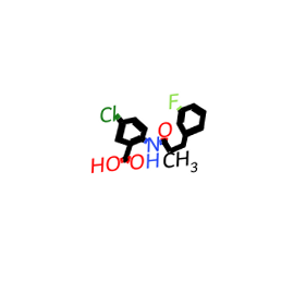 CC(Cc1cccc(F)c1)C(=O)Nc1ccc(Cl)cc1C(=O)O